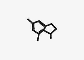 Cc1cc(C)c2c(c1)CCC2C